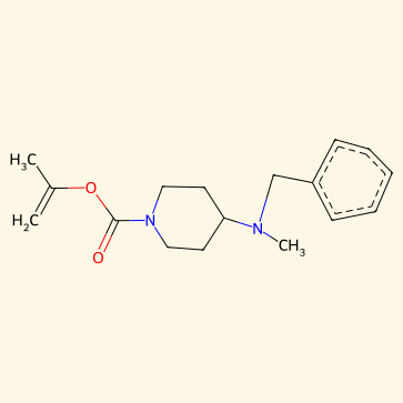 C=C(C)OC(=O)N1CCC(N(C)Cc2ccccc2)CC1